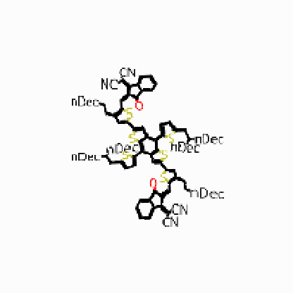 CCCCCCCCCCCCc1cc(-c2cc3c(-c4ccc(CC(CCCCCCCCCC)CCCCCCCCCC)s4)c4sc(-c5cc(CCCCCCCCCCCC)c(/C=C6\C(=O)c7ccccc7C6=C(C#N)C#N)s5)cc4c(-c4ccc(CC(CCCCCCCCCC)CCCCCCCCCC)s4)c3s2)sc1/C=C1\C(=O)c2ccccc2C1=C(C#N)C#N